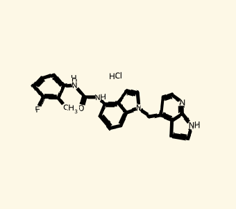 Cc1c(F)cccc1NC(=O)Nc1cccc2c1ccn2Cc1ccnc2[nH]ccc12.Cl